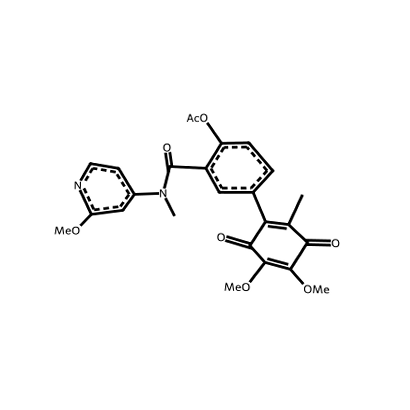 COC1=C(OC)C(=O)C(c2ccc(OC(C)=O)c(C(=O)N(C)c3ccnc(OC)c3)c2)=C(C)C1=O